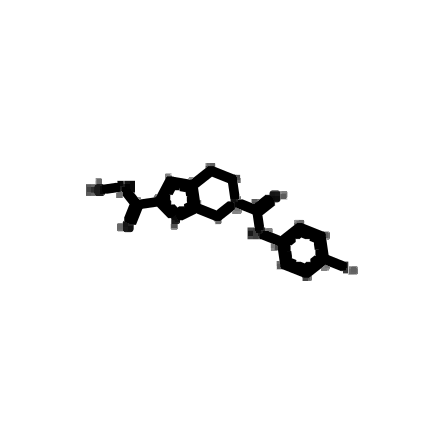 O=C(NO)c1cc2c(s1)CN(C(=O)Nc1ccc(I)cc1)CC2